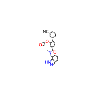 CN(Cc1cccc2cn[nH]c12)C(=O)c1ccc(-c2cccc(C#N)c2)c(OC2COC2)c1